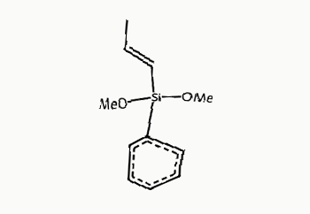 CC=C[Si](OC)(OC)c1ccccc1